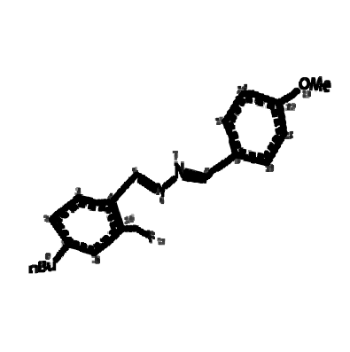 CCCCc1ccc(C=NN=Cc2ccc(OC)cc2)c(F)c1